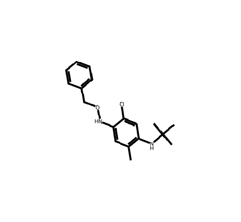 Cc1cc(NOCc2ccccc2)c(Cl)cc1NC(C)(C)C